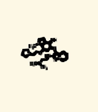 CN(C)CCNc1nn2ccccc2c1N=C1C=C(OCCN2CCCC2)c2c(ccn2C)C1=N